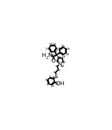 C[N+]1(CCCSc2ccccc2O)CC[C@@H](C(C(N)=O)(c2ccccc2)c2ccccc2)C1